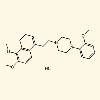 COc1ccccc1N1CCN(CCC2=CCCc3c2ccc(OC)c3OC)CC1.Cl